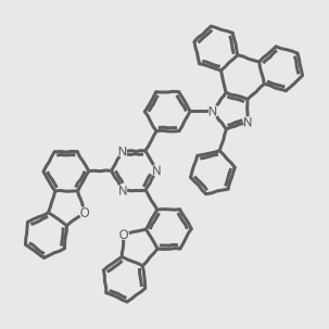 c1ccc(-c2nc3c4ccccc4c4ccccc4c3n2-c2cccc(-c3nc(-c4cccc5c4oc4ccccc45)nc(-c4cccc5c4oc4ccccc45)n3)c2)cc1